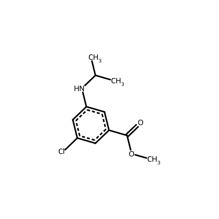 COC(=O)c1cc(Cl)cc(NC(C)C)c1